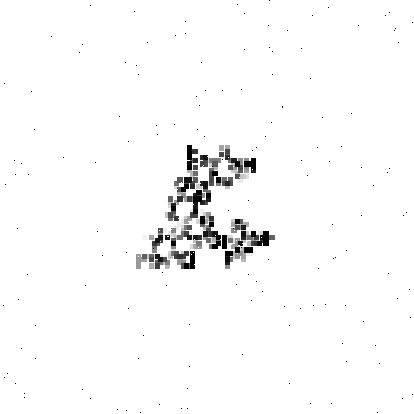 C[C@@H](Oc1ccc2c(-c3ccc(F)cc3Cl)cc(=O)oc2c1)C(=O)N1CCNCC1.O=C(O)C(F)(F)F